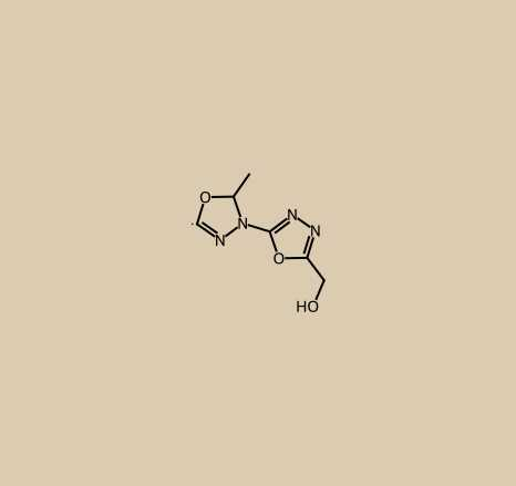 CC1O[C]=NN1c1nnc(CO)o1